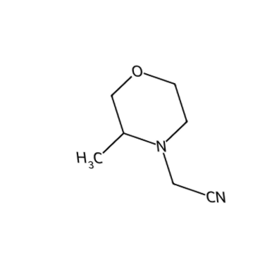 CC1COCCN1CC#N